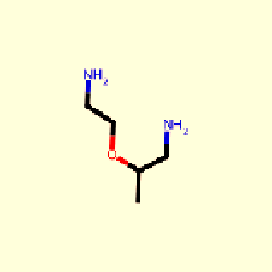 CC(CN)OCCN